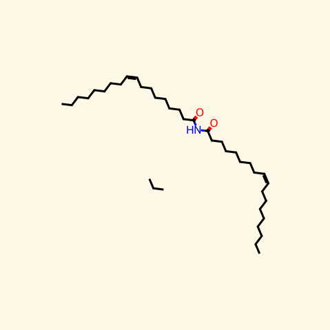 CCC.CCCCCCCC/C=C\CCCCCCCC(=O)NC(=O)CCCCCCC/C=C\CCCCCCCC